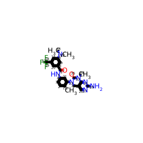 Cc1ccc(NC(=O)c2cc(N(C)C)cc(C(F)(F)F)c2)cc1N1Cc2cnc(N)nc2N(C)C1=O